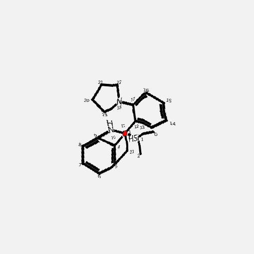 C[SiH](C)Oc1c2cccc1NC(c1ccccc1N1CCCC1)C2